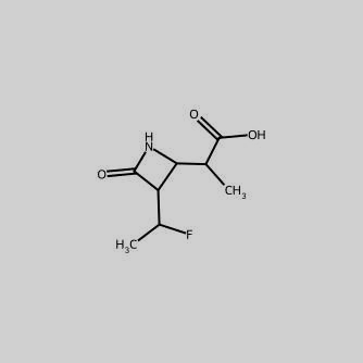 CC(F)C1C(=O)NC1C(C)C(=O)O